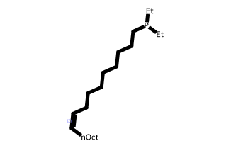 CCCCCCCC/C=C\CCCCCCCCP(CC)CC